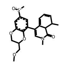 COCC1COc2cc([S+](C)[O-])cc(C3=CN(C)C(=O)C4C3=CC=CC4C)c2O1